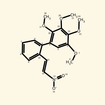 COc1cc(-c2ccccc2C=C[N+](=O)[O-])c(OC)c(OC)c1OC